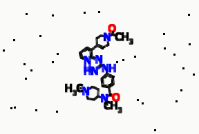 CC(=O)N1CC=C(c2ccc[nH]/c2=N\C(=N)Nc2ccc(C(=O)N(C)C3CCN(C)CC3)cc2)CC1